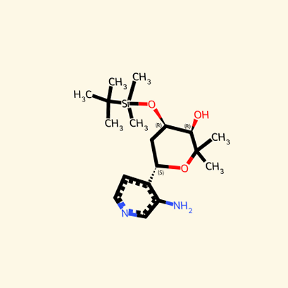 CC1(C)O[C@H](c2ccncc2N)C[C@@H](O[Si](C)(C)C(C)(C)C)[C@H]1O